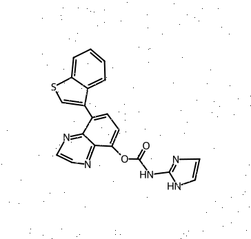 O=C(Nc1ncc[nH]1)Oc1ccc(-c2csc3ccccc23)c2nccnc12